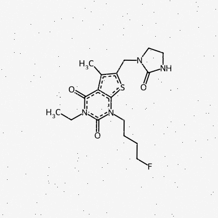 CCn1c(=O)c2c(C)c(CN3CCNC3=O)sc2n(CCCCF)c1=O